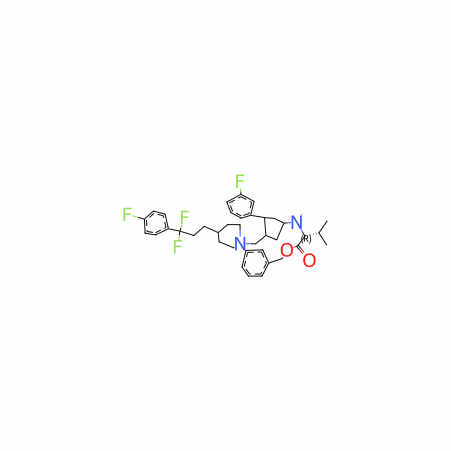 CC(C)[C@H](C(=O)OCc1ccccc1)N(C)C1CC(CN2CCC(CCC(F)(F)c3ccc(F)cc3)CC2)C(c2cccc(F)c2)C1